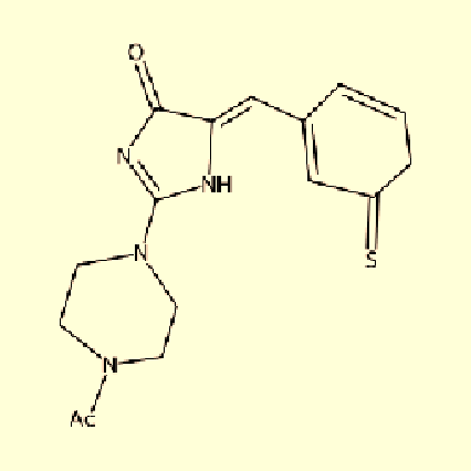 CC(=O)N1CCN(C2=NC(=O)C(=CC3=CC(=S)CC=C3)N2)CC1